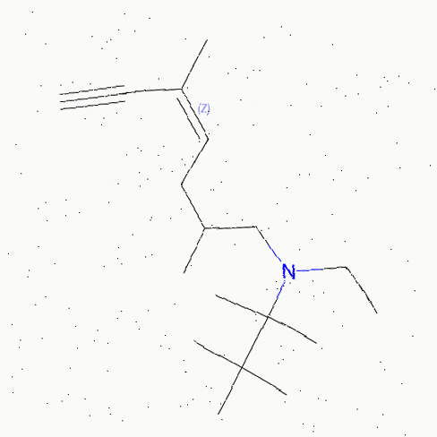 C#C/C(C)=C\CC(C)CN(CC)C(C)(C)C(C)(C)C